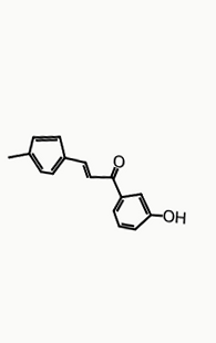 Cc1ccc(/C=C/C(=O)c2cccc(O)c2)cc1